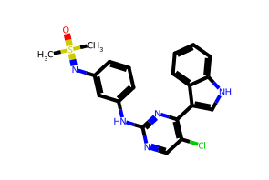 CS(C)(=O)=Nc1cccc(Nc2ncc(Cl)c(-c3c[nH]c4ccccc34)n2)c1